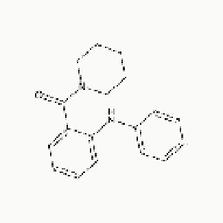 O=C(c1ccccc1Nc1cc[c]cc1)N1CCCCC1